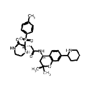 Cc1ccc(S(=O)(=O)[C@@]2(CC(=O)N[C@@H]3CC(C)(C)Oc4cc(C5CCCCN5)ccc43)NCCNC2=O)cc1